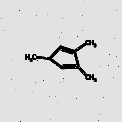 CC1=[C]C(C)C=C1C